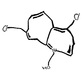 O[n+]1ccc(Cl)c2ccc(Cl)cc21